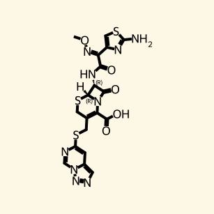 CON=C(C(=O)N[C@@H]1C(=O)N2C(C(=O)O)=C(CSc3cc4cnnn4cn3)CS[C@H]12)c1csc(N)n1